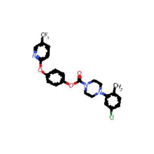 Cc1ccc(Cl)cc1N1CCN(C(=O)Oc2ccc(Oc3ccc(C(F)(F)F)cn3)cc2)CC1